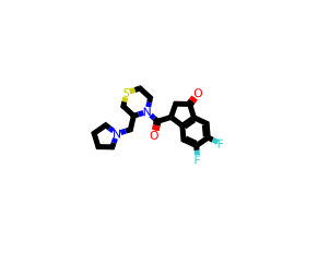 O=C1CC(C(=O)N2CCSCC2CN2CCCC2)c2cc(F)c(F)cc21